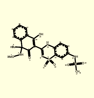 CCCCC1(NOC)C(=O)C(C2=NS(=O)(=O)c3cc(NS(C)(=O)=O)ccc3N2)=C(O)c2ccccc21